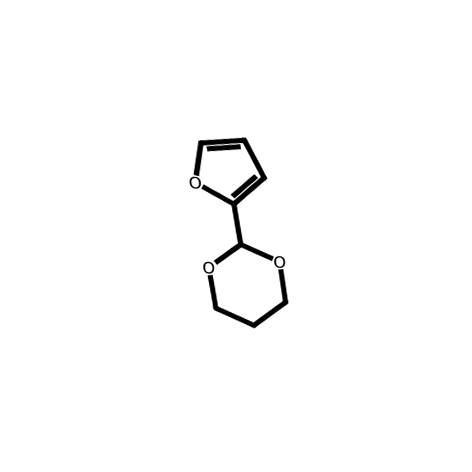 c1coc(C2OCCCO2)c1